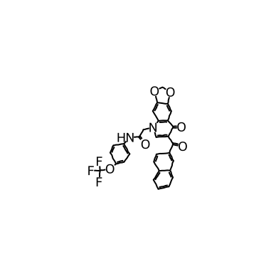 O=C(Cn1cc(C(=O)c2ccc3ccccc3c2)c(=O)c2cc3c(cc21)OCO3)Nc1ccc(OC(F)(F)F)cc1